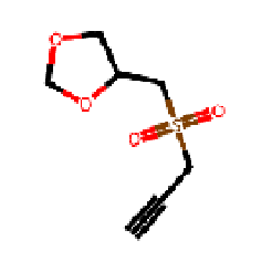 C#CCS(=O)(=O)CC1COCO1